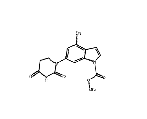 CC(C)(C)OC(=O)n1ccc2c(C#N)cc(N3CCC(=O)NC3=O)cc21